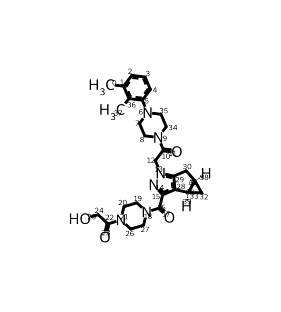 Cc1cccc(N2CCN(C(=O)Cn3nc(C(=O)N4CCN(C(=O)CO)CC4)c4c3C[C@H]3C[C@@H]43)CC2)c1C